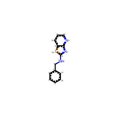 c1ccc(CNc2nc3ncccc3s2)cc1